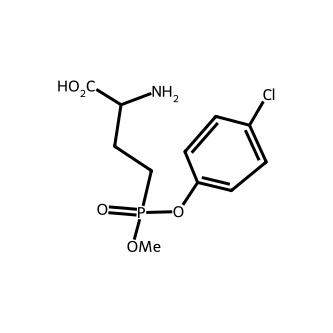 COP(=O)(CCC(N)C(=O)O)Oc1ccc(Cl)cc1